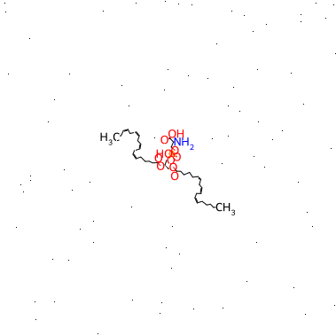 CC/C=C\C/C=C\C/C=C\C/C=C\CCCCC(=O)O[C@H](COC(=O)CCCC/C=C\C/C=C\C/C=C\CCCCC)COP(=O)(O)OC[C@H](N)C(=O)O